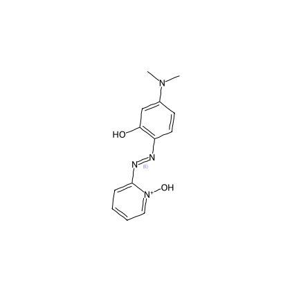 CN(C)c1ccc(/N=N/c2cccc[n+]2O)c(O)c1